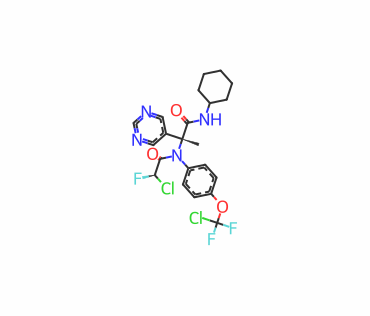 C[C@](C(=O)NC1CCCCC1)(c1cncnc1)N(C(=O)[C@H](F)Cl)c1ccc(OC(F)(F)Cl)cc1